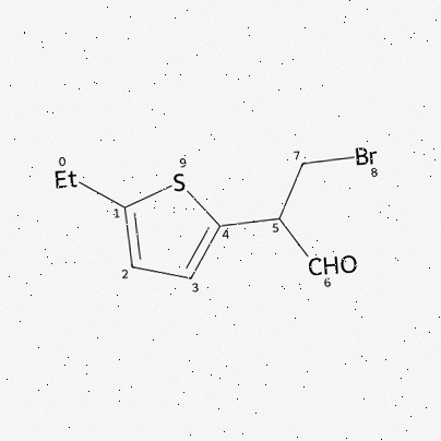 CCc1ccc(C(C=O)CBr)s1